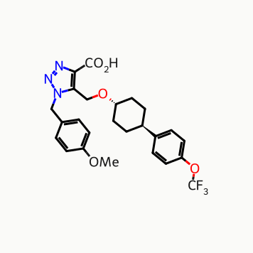 COc1ccc(Cn2nnc(C(=O)O)c2CO[C@H]2CC[C@H](c3ccc(OC(F)(F)F)cc3)CC2)cc1